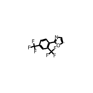 FC(F)(F)c1ccc(-c2nc[c]o2)c(C(F)(F)F)c1